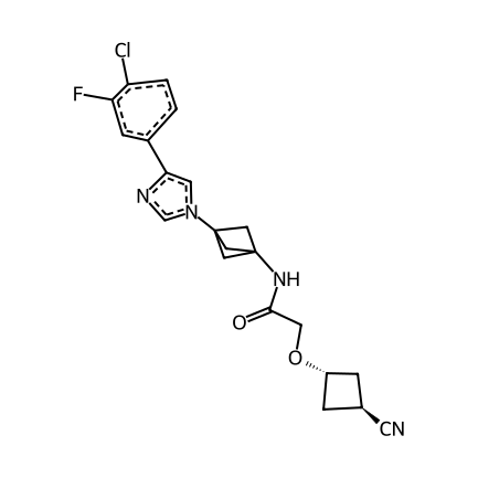 N#C[C@H]1C[C@H](OCC(=O)NC23CC(n4cnc(-c5ccc(Cl)c(F)c5)c4)(C2)C3)C1